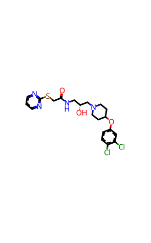 O=C(CSc1ncccn1)NC[C@@H](O)CN1CCC(Oc2ccc(Cl)c(Cl)c2)CC1